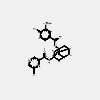 COc1cc(C(=O)NC23CC4CC(C2)CC(NC(=O)c2cncc(C)n2)(C4)C3)ccc1F